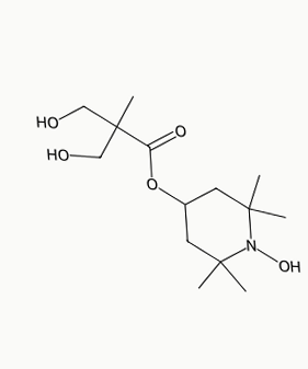 CC(CO)(CO)C(=O)OC1CC(C)(C)N(O)C(C)(C)C1